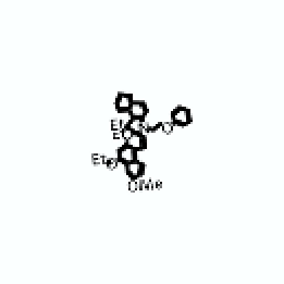 CCOc1cc2c(c3ccc(OC)cc13)C=CC1(O2)N(CCOc2ccccc2)c2ccc3ccccc3c2C1(CC)CC